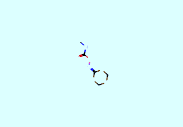 CNC(=O)ON=C1SCSCS1